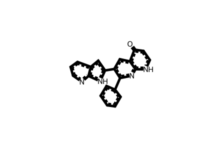 O=c1cc[nH]c2nc(-c3ccccc3)c(-c3cc4cccnc4[nH]3)cc12